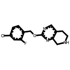 Fc1cc(Cl)ccc1COc1ncc2c(n1)CNCC2